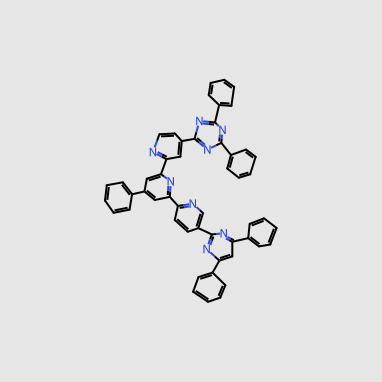 c1ccc(-c2cc(-c3ccc(-c4nc(-c5ccccc5)cc(-c5ccccc5)n4)cn3)nc(-c3cc(-c4nc(-c5ccccc5)nc(-c5ccccc5)n4)ccn3)c2)cc1